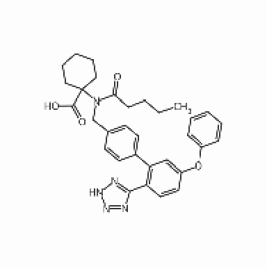 CCCCC(=O)N(Cc1ccc(-c2cc(Oc3ccccc3)ccc2-c2nn[nH]n2)cc1)C1(C(=O)O)CCCCC1